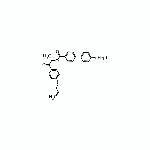 C=CCOc1ccc(C(=O)[C@H](C)OC(=O)c2ccc(-c3ccc(CCCCCCC)cc3)cc2)cc1